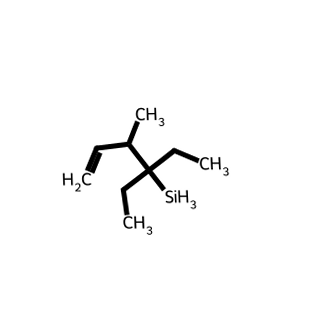 C=CC(C)C([SiH3])(CC)CC